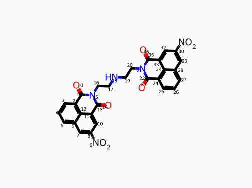 O=C1c2cccc3cc([N+](=O)[O-])cc(c23)C(=O)N1CCNCCN1C(=O)c2cccc3cc([N+](=O)[O-])cc(c23)C1=O